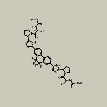 COC(=O)NC(C(=O)N1CCCC1c1ncc(-c2ccc3c(c2)C(F)(F)C(F)(F)c2cc(-c4cnc(C5CCCN5C(=O)[C@@H](NC(=O)OC)C(C)C)[nH]4)ccc2-3)[nH]1)C(C)C